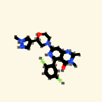 Cc1nc2cc(N3CCO[C@H](c4cnn(C)c4)C3)nc(-c3cc(F)ccc3F)c2c(=O)n1C